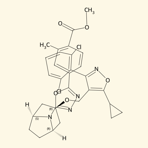 COC(=O)c1ccc(-c2nnc(N3[C@@H]4CC[C@H]3C[C@@H](OCc3c(-c5c(Cl)cccc5Cl)noc3C3CC3)C4)o2)cc1C